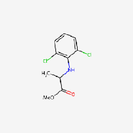 COC(=O)C(C)Nc1c(Cl)cccc1Cl